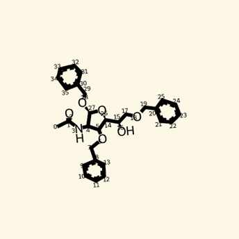 CC(=O)NC1C(OCc2ccccc2)[C@@H]([C@H](O)COCc2ccccc2)O[C@@H]1OCc1ccccc1